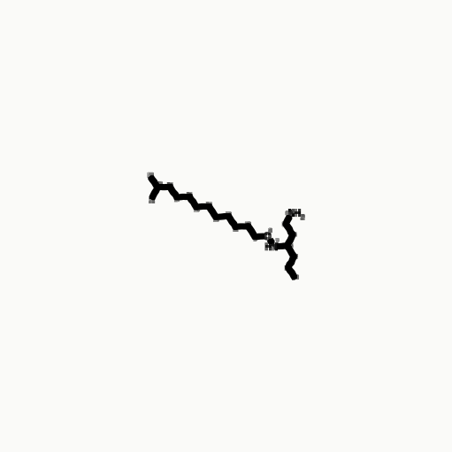 CCCC(CCN)NOCCCCCCCCCCC(C)C